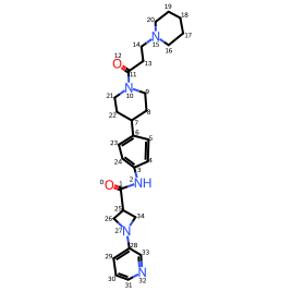 O=C(Nc1ccc(C2CCN(C(=O)CCN3CCCCC3)CC2)cc1)C1CN(c2cccnc2)C1